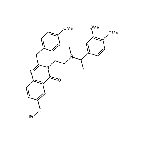 COc1ccc(Cc2nc3ccc(OC(C)C)cc3c(=O)n2CCN(C)C(C)c2ccc(OC)c(OC)c2)cc1